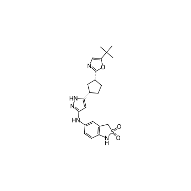 CC(C)(C)c1cnc([C@@H]2CC[C@H](c3cc(Nc4ccc5c(c4)CS(=O)(=O)N5)n[nH]3)C2)o1